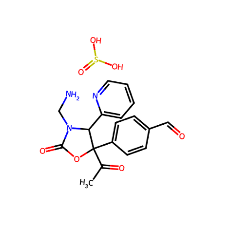 CC(=O)C1(c2ccc(C=O)cc2)OC(=O)N(CN)C1c1ccccn1.O=S(O)O